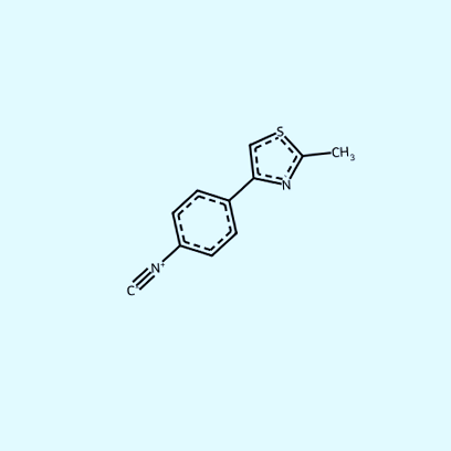 [C-]#[N+]c1ccc(-c2csc(C)n2)cc1